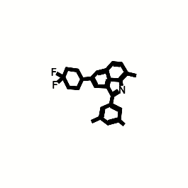 Cc1cc(C)cc(C2=Nc3c(C)ccc4cc(C5CCC(F)(F)CC5)cc2c34)c1